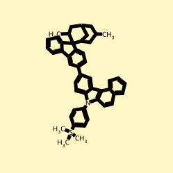 CC1CC2CC(C)C3(c4ccccc4-c4cc(-c5ccc6c(c5)c5c7ccccc7ccc5n6-c5ccc(S(C)(C)C)cc5)ccc43)C(C1)C2